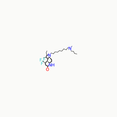 CCCCN(C)CCCCCCCCCn1c(CC)c(C)c2c3c(C(F)(F)F)cc(=O)[nH]c3ccc21